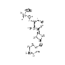 CC(C)(C)[Si](C)(C)OCc1cccc(N2CC(OC3CCNCC3)C2)c1F